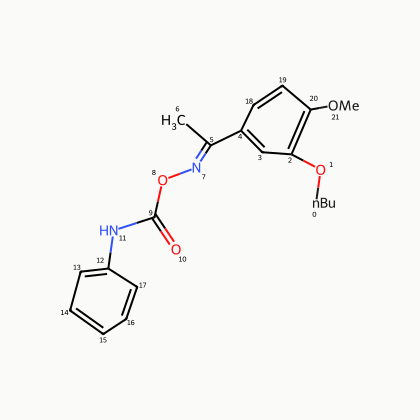 CCCCOc1cc(C(C)=NOC(=O)Nc2ccccc2)ccc1OC